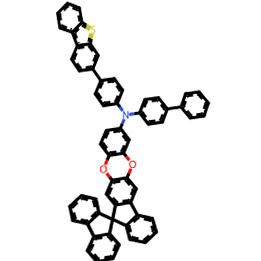 c1ccc(-c2ccc(N(c3ccc(-c4ccc5c(c4)sc4ccccc45)cc3)c3ccc4c(c3)Oc3cc5c(cc3O4)C3(c4ccccc4-c4ccccc43)c3ccccc3-5)cc2)cc1